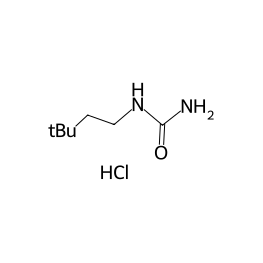 CC(C)(C)CCNC(N)=O.Cl